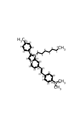 CCCCCCC[n+]1c(-c2ccc(C)cc2)cn2ccc(/C=C/c3ccc(N(C)C)cc3)cc21